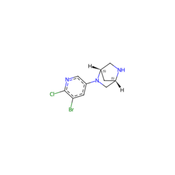 Clc1ncc(N2C[C@@H]3C[C@H]2CN3)cc1Br